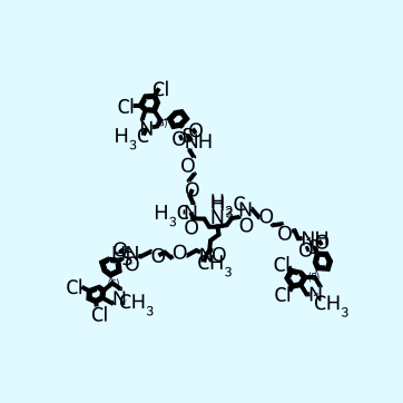 CN1Cc2c(Cl)cc(Cl)cc2[C@H](c2cccc(S(=O)(=O)NCCOCCOCCN(C)C(=O)CCC(N)(CCC(=O)N(C)CCOCCOCCNS(=O)(=O)c3cccc([C@@H]4CN(C)Cc5c(Cl)cc(Cl)cc54)c3)CCC(=O)N(C)CCOCCOCCNS(=O)(=O)c3cccc([C@@H]4CN(C)Cc5c(Cl)cc(Cl)cc54)c3)c2)C1